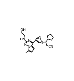 Cc1ccc2c(-c3cnn(C(CC#N)C4CCCC4)c3)nc(NCCO)nn12